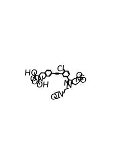 CS(=O)(=O)N1CCc2c(c(-c3ccc(Cl)c(C#Cc4ccc5c(c4)CN(C(=O)O)[C@@H](C(=O)O)C5)c3)nn2CCCN2CCOCC2)C1